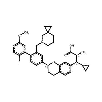 COc1cc(-c2ccc([C@@H]3CCc4ccc([C@H](C5CC5)[C@H](C)C(=O)O)cc4O3)cc2CN2CCCC3(CC3)C2)c(F)cn1